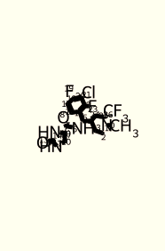 CN1CCC(C(NC(=O)[C@@H]2CNC(=O)N2)c2ccc(F)c(Cl)c2F)CC1C(F)(F)F